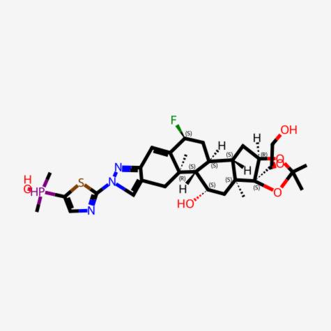 CC1(C)O[C@@H]2C[C@H]3[C@@H]4C[C@H](F)C5=Cc6nn(-c7ncc([PH](C)(C)O)s7)cc6C[C@]5(C)[C@H]4[C@@H](O)C[C@]3(C)[C@]2(C(=O)CO)O1